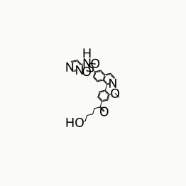 COc1cc(C(=O)CCCCO)ccc1-c1nccc2cc(S(=O)(=O)Nc3ccncn3)ccc12